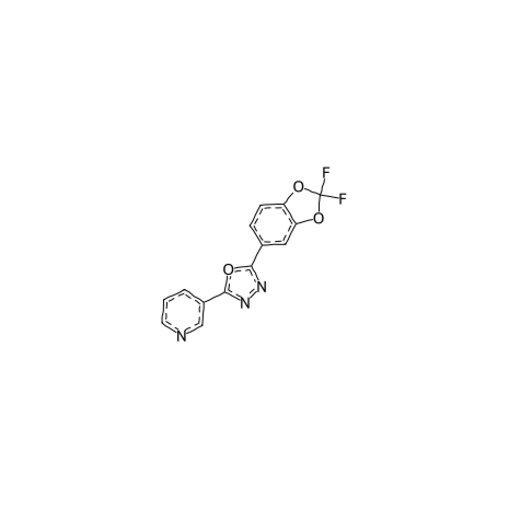 FC1(F)Oc2ccc(-c3nnc(-c4cccnc4)o3)cc2O1